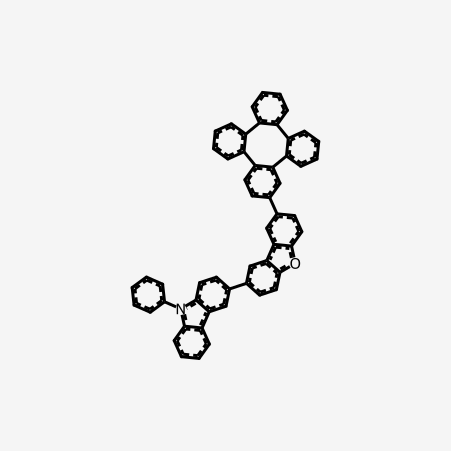 c1ccc(-n2c3ccccc3c3cc(-c4ccc5oc6ccc(-c7ccc8c(c7)-c7ccccc7-c7ccccc7-c7ccccc7-8)cc6c5c4)ccc32)cc1